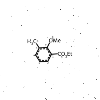 CCOC(=O)c1cccc(C)c1OC